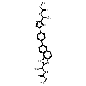 CC(C)(C)OC(=O)N[C@H](c1ncc(-c2ccc(-c3ccc4c(ccc5nc([C@@H](NC(=O)OC(C)(C)C)C(C)(C)C)[nH]c54)c3)cc2)[nH]1)C(C)(C)C